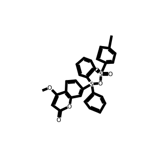 COc1cc(=O)oc2cc(S(OS(=O)(=O)c3ccc(C)cc3)(c3ccccc3)c3ccccc3)ccc12